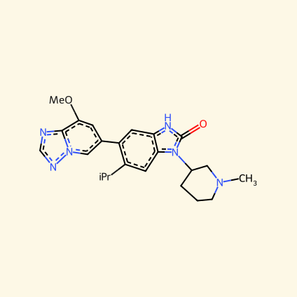 COc1cc(-c2cc3[nH]c(=O)n(C4CCCN(C)C4)c3cc2C(C)C)cn2ncnc12